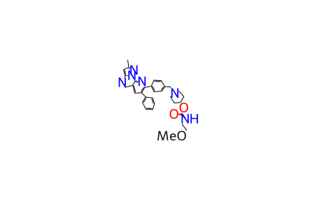 COCCNC(=O)OC1CCN(Cc2ccc(-c3nc4c(cnc5cc(C)nn54)cc3-c3ccccc3)cc2)CC1